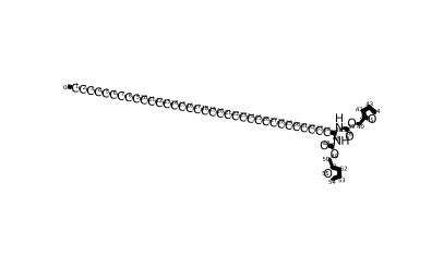 C=C=C=C=C=C=C=C=C=C=C=C=C=C=C=C=C=C=C=C=C=C=C=C=C=C=C=C=C=C=C=C=C=C=C=C(NC(=O)OCc1ccco1)NC(=O)OCc1ccco1